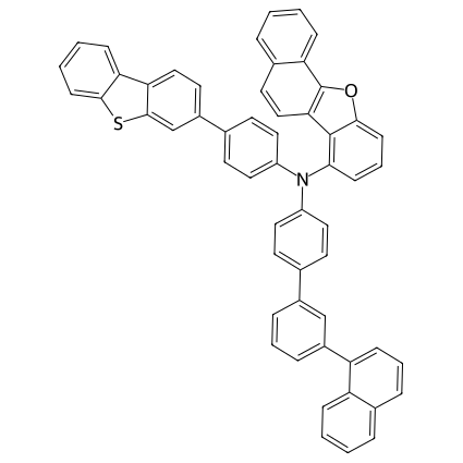 c1cc(-c2ccc(N(c3ccc(-c4ccc5c(c4)sc4ccccc45)cc3)c3cccc4oc5c6ccccc6ccc5c34)cc2)cc(-c2cccc3ccccc23)c1